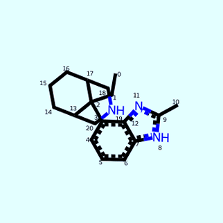 CCC1(c2cccc3[nH]c(C)nc23)C2CCCC1CNC2